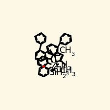 CCC1=Cc2c(-c3ccccc3)cccc2[CH]1[Zr]([CH3])([CH3])(=[SiH2])([c]1ccccc1)([c]1ccccc1)[CH]1C(CC)=Cc2c(-c3ccccc3)cccc21